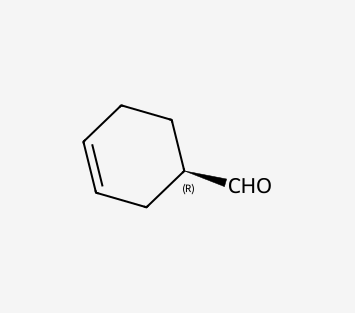 O=C[C@H]1CC=CCC1